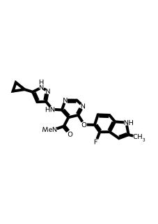 CNC(=O)c1c(Nc2cc(C3CC3)[nH]n2)ncnc1Oc1ccc2[nH]c(C)cc2c1F